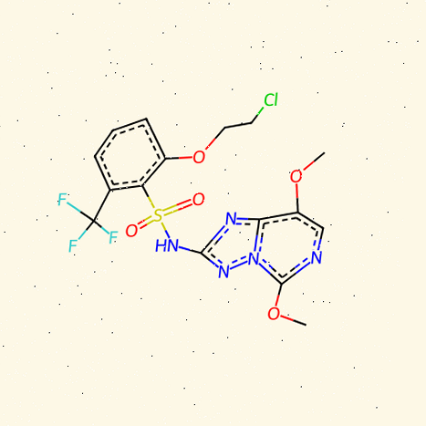 COc1cnc(OC)n2nc(NS(=O)(=O)c3c(OCCCl)cccc3C(F)(F)F)nc12